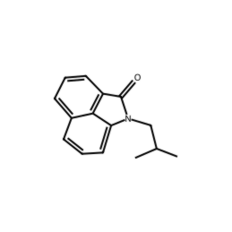 CC(C)CN1C(=O)c2cccc3cccc1c23